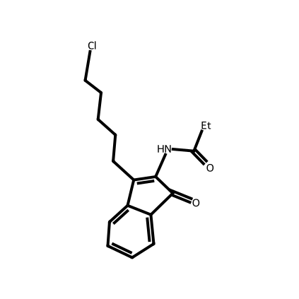 CCC(=O)NC1=C(CCCCCCl)c2ccccc2C1=O